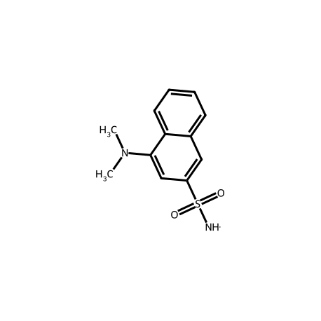 CN(C)c1cc(S([NH])(=O)=O)cc2ccccc12